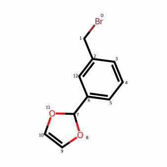 BrCc1cccc(C2OC=CO2)c1